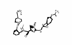 CC(F)Oc1ccc2[nH]c(Sc3nc(C(=O)Nc4ccccc4N4CCC(N)CC4)cs3)nc2c1